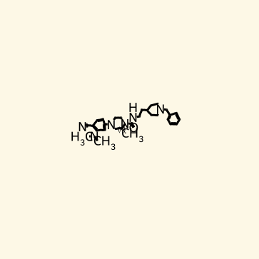 C[C@@H]1CN(c2ccc(C#N)c(N(C)C)c2)CCN1C(=O)NCCC1CCN(Cc2ccccc2)CC1